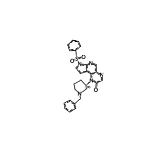 O=c1cnc2cnc3c(ccn3S(=O)(=O)c3ccccc3)c2n1[C@@H]1CCCN(Cc2ccccc2)C1